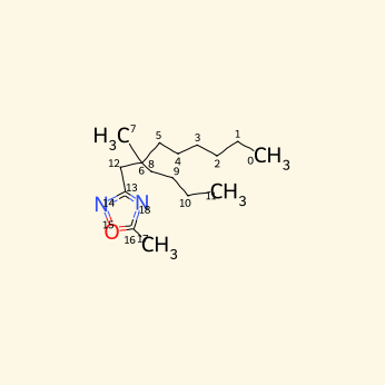 CCCCCCC(C)(CCCC)Cc1noc(C)n1